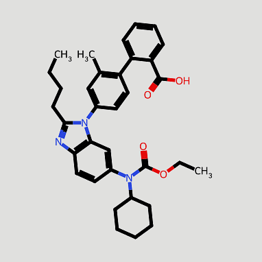 CCCCc1nc2ccc(N(C(=O)OCC)C3CCCCC3)cc2n1-c1ccc(-c2ccccc2C(=O)O)c(C)c1